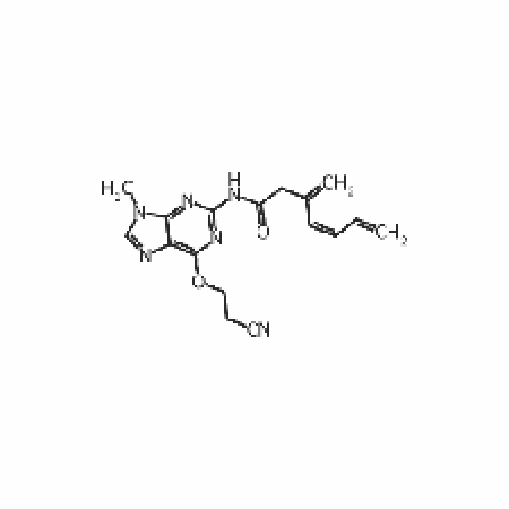 C=C/C=C\C(=C)CC(=O)Nc1nc(OCCC#N)c2ncn(C)c2n1